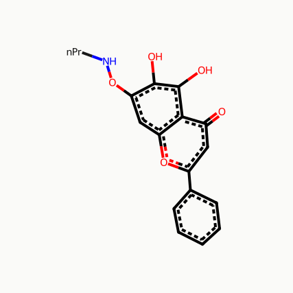 CCCNOc1cc2oc(-c3ccccc3)cc(=O)c2c(O)c1O